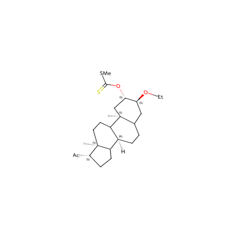 CCO[C@H]1CC2CC[C@@H]3C(CC[C@@]4(C)C3CC[C@@H]4C(C)=O)[C@@]2(C)C[C@@H]1OC(=S)SC